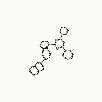 c1ccc(-c2nc(-c3ccccc3)nc(-c3cccc4cc(-c5ccc6ccccc6c5)ccc34)n2)cc1